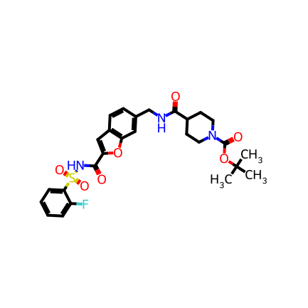 CC(C)(C)OC(=O)N1CCC(C(=O)NCc2ccc3cc(C(=O)NS(=O)(=O)c4ccccc4F)oc3c2)CC1